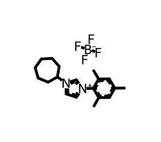 Cc1cc(C)c(-[n+]2ccn(C3CCCCCC3)c2)c(C)c1.F[B-](F)(F)F